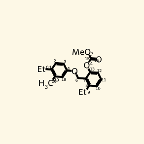 CCc1ccc(OCc2c(CC)cccc2OC(=O)OC)cc1C